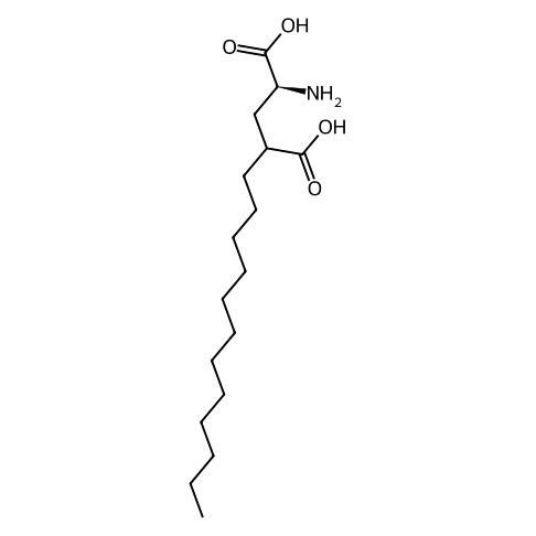 CCCCCCCCCCCCC(C[C@H](N)C(=O)O)C(=O)O